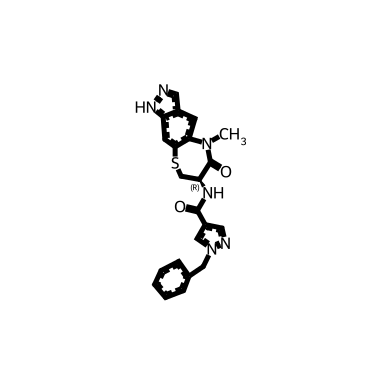 CN1C(=O)[C@@H](NC(=O)c2cnn(Cc3ccccc3)c2)CSc2cc3[nH]ncc3cc21